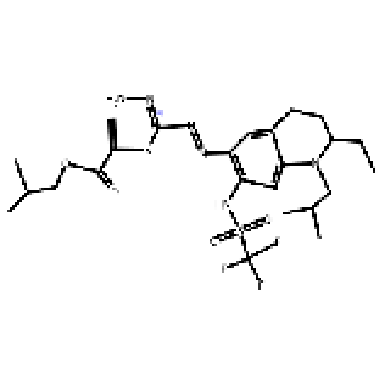 C=C(S/C(N=Nc1cc2c(cc1NS(=O)(=O)C(F)(F)F)N(CC(C)C)C(CC)CC2)=N\N)C(=O)OCC(C)C